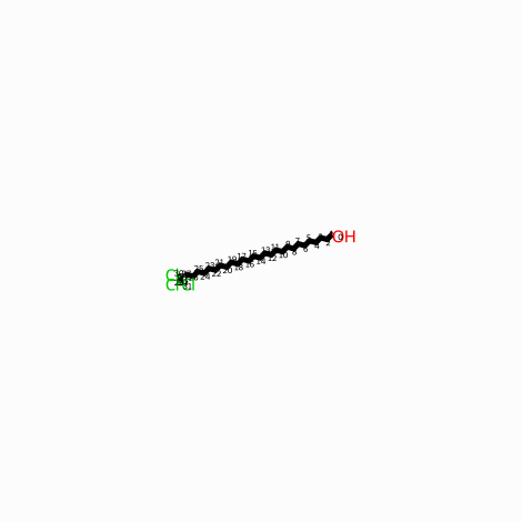 OCCCCCCCCCCCCCCCCCCCCCCCCCCC[Si](Cl)(Cl)Cl